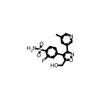 Cc1cncc(-c2noc(CO)c2-c2ccc(S(N)(=O)=O)c(F)c2)c1